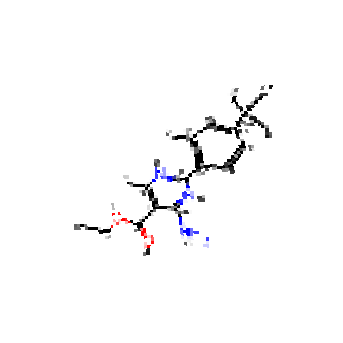 CCOC(=O)c1c(C)nc(-c2ccc(C(C)(C)C)cc2C)nc1N